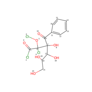 O=C(Cl)C(Cl)(OCl)C(O)(C(=O)c1ccccc1)C(O)C(O)CO